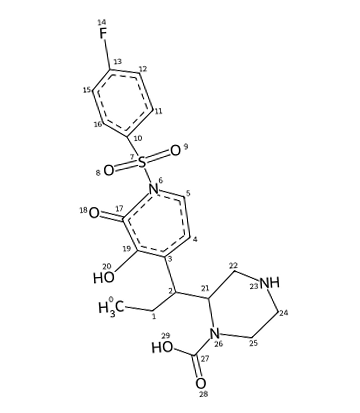 CCC(c1ccn(S(=O)(=O)c2ccc(F)cc2)c(=O)c1O)C1CNCCN1C(=O)O